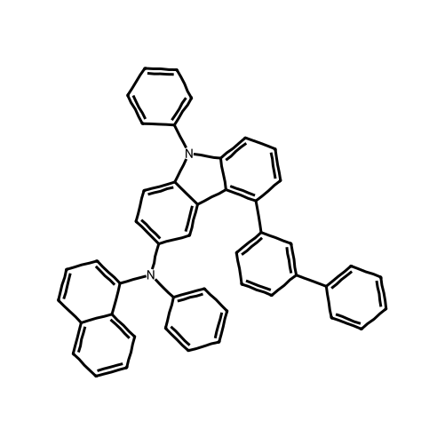 c1ccc(-c2cccc(-c3cccc4c3c3cc(N(c5ccccc5)c5cccc6ccccc56)ccc3n4-c3ccccc3)c2)cc1